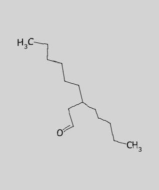 CCCCCCC(CC=O)CCCCC